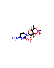 CC1OP(C)(=O)O[C@H]2[C@H](O)[C@H](n3ccc(N)nc3=O)O[C@H]12